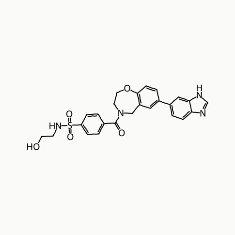 O=C(c1ccc(S(=O)(=O)NCCO)cc1)N1CCOc2ccc(-c3ccc4nc[nH]c4c3)cc2C1